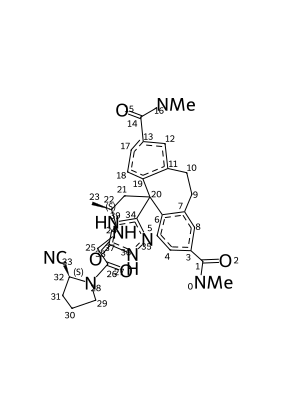 CNC(=O)c1ccc2c(c1)CCc1cc(C(=O)NC)ccc1C2(C[C@H](C)NCC(=O)N1CCC[C@H]1C#N)c1n[nH]c(=O)[nH]1